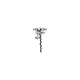 CCCCCCCCCCCC(=O)N[C@H](C(=O)O)[C@@H](C)O.[KH]